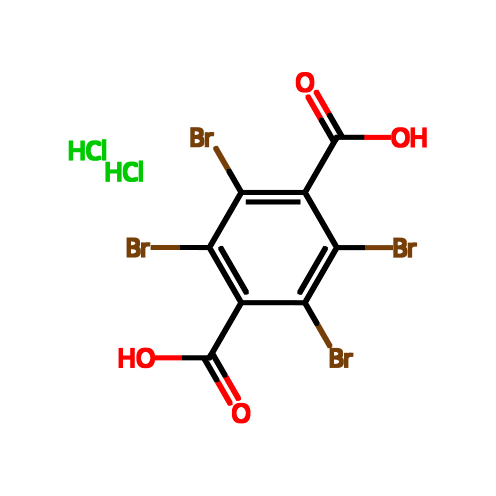 Cl.Cl.O=C(O)c1c(Br)c(Br)c(C(=O)O)c(Br)c1Br